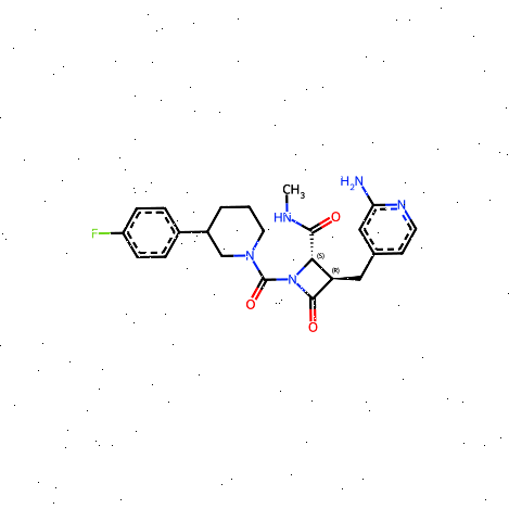 CNC(=O)[C@@H]1[C@@H](Cc2ccnc(N)c2)C(=O)N1C(=O)N1CCCC(c2ccc(F)cc2)C1